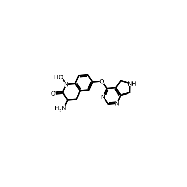 NC1Cc2cc(Oc3ncnc4c3CNC4)ccc2N(O)C1=O